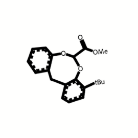 COC(=O)C1Oc2ccccc2Cc2cccc(C(C)(C)C)c2O1